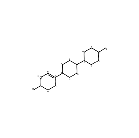 CC1CCC(C2CCC(C3=COC(C)CC3)CC2)CC1